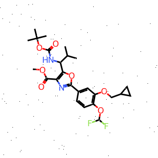 COC(=O)c1nc(-c2ccc(OC(F)F)c(OCC3CC3)c2)oc1C(NC(=O)OC(C)(C)C)C(C)C